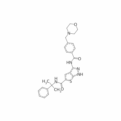 CC(C)(NC(=O)c1cc2c(NC(=O)c3ccc(CN4CCOCC4)cc3)n[nH]c2s1)c1ccccc1